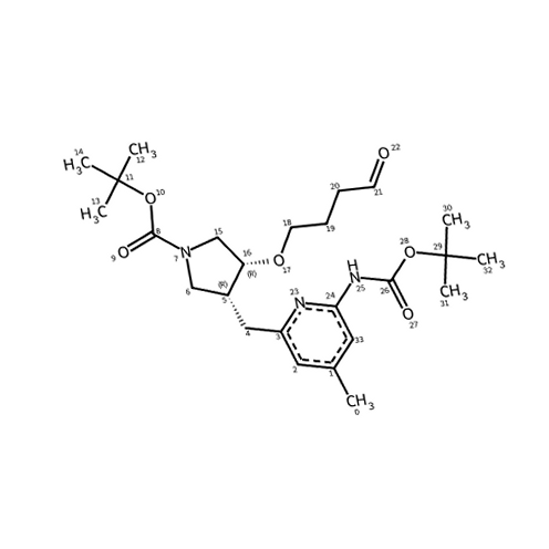 Cc1cc(C[C@@H]2CN(C(=O)OC(C)(C)C)C[C@@H]2OCCCC=O)nc(NC(=O)OC(C)(C)C)c1